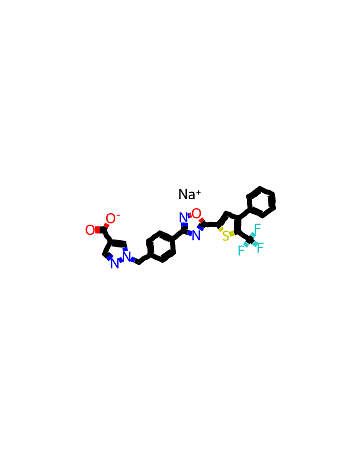 O=C([O-])c1cnn(Cc2ccc(-c3noc(-c4cc(-c5ccccc5)c(C(F)(F)F)s4)n3)cc2)c1.[Na+]